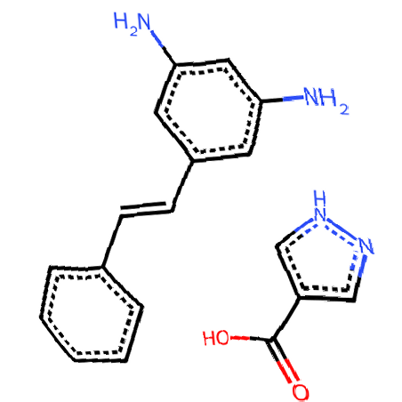 Nc1cc(N)cc(C=Cc2ccccc2)c1.O=C(O)c1cn[nH]c1